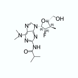 CC(C)C(=O)Nc1nc(N(C)C)c2ncn([C@@H]3O[C@H](CO)[C@@H](C)[C@H]3F)c2n1